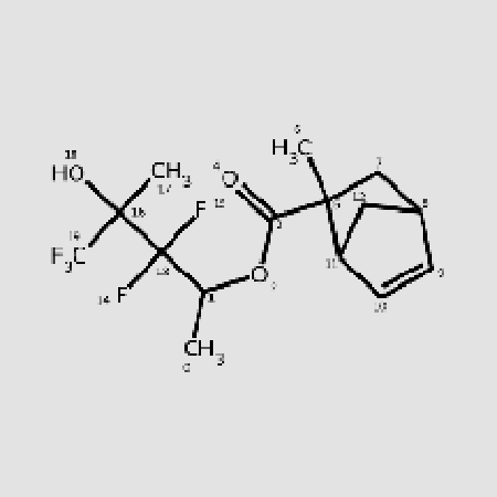 CC(OC(=O)C1(C)CC2C=CC1C2)C(F)(F)C(C)(O)C(F)(F)F